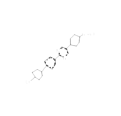 CCCCCC1CCC(c2cnc(-c3ccc(C4CCC(CC)CC4)cc3)nc2)CC1